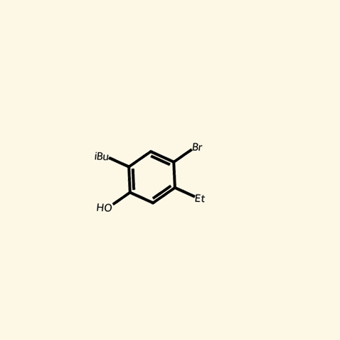 CCc1cc(O)c(C(C)CC)cc1Br